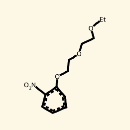 CCOCCOCCOc1ccccc1[N+](=O)[O-]